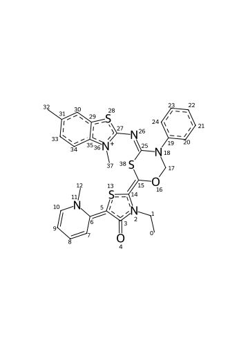 CCn1c(=O)/c(=C2\C=CC=CN2C)s/c1=C1/OCN(c2ccccc2)/C(=N/c2sc3cc(C)ccc3[n+]2C)S1